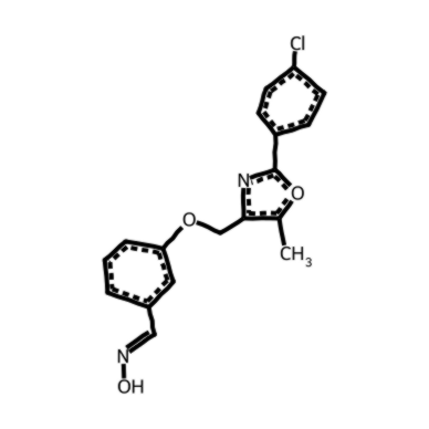 Cc1oc(-c2ccc(Cl)cc2)nc1COc1cccc(C=NO)c1